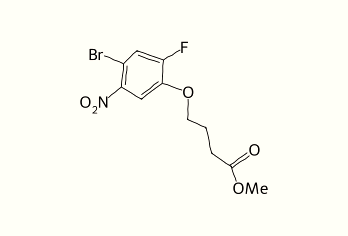 COC(=O)CCCOc1cc([N+](=O)[O-])c(Br)cc1F